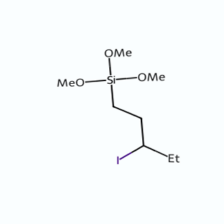 CCC(I)CC[Si](OC)(OC)OC